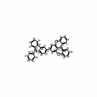 S=P12c3ccccc3Oc3cc(-c4ccc5c(c4)c4ccccc4n5-c4ccccc4)cc(c31)Oc1ccccc12